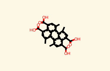 Cc1cc(C(=O)O)c2c(C(=O)O)cc(C)c3c4c(C)cc(C(=O)O)c5c(C(=O)O)cc(C)c(c1c23)c54